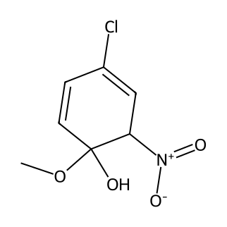 COC1(O)C=CC(Cl)=CC1[N+](=O)[O-]